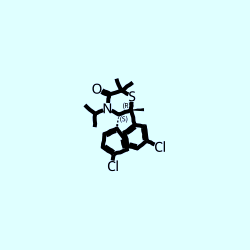 CC(C)N1C(=O)C(C)(C)S[C@](C)(c2cccc(Cl)c2)[C@@H]1c1ccc(Cl)cc1